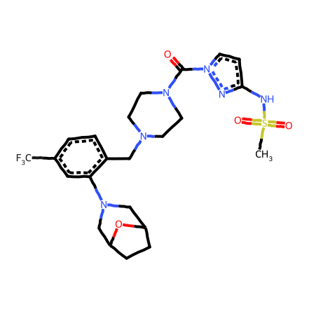 CS(=O)(=O)Nc1ccn(C(=O)N2CCN(Cc3ccc(C(F)(F)F)cc3N3CC4CCC(C3)O4)CC2)n1